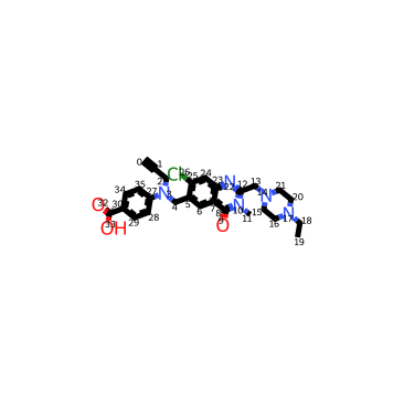 C#CCN(Cc1cc2c(=O)n(C)c(CN3CCN(CC)CC3)nc2cc1Cl)c1ccc(C(=O)O)cc1